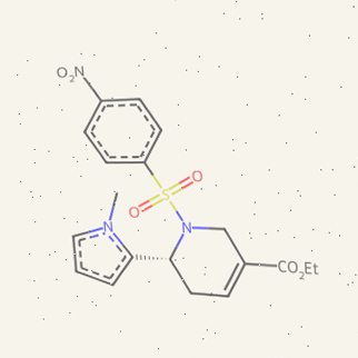 CCOC(=O)C1=CC[C@H](c2cccn2C)N(S(=O)(=O)c2ccc([N+](=O)[O-])cc2)C1